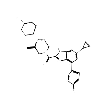 Cn1c(C(=O)N2CCN([C@H]3CC[C@H](O)CC3)C(=O)C2)nc2c(-c3ccc(F)cc3)cc(C3CC3)cc21